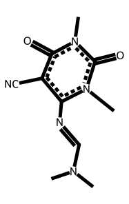 CN(C)/C=N/c1c(C#N)c(=O)n(C)c(=O)n1C